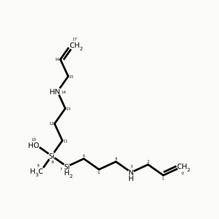 C=CCNCCC[SiH2][Si](C)(O)CCCNCC=C